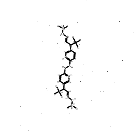 C[SiH](C)ON=CC(c1ccc(SSc2ccc(C(C=NO[SiH](C)C)C(C)(C)C)cn2)nc1)C(C)(C)C